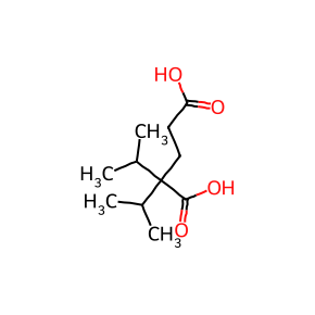 CC(C)C(CCC(=O)O)(C(=O)O)C(C)C